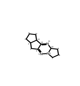 C1CC2CC3=NN4CCCC4N=C3C2C1